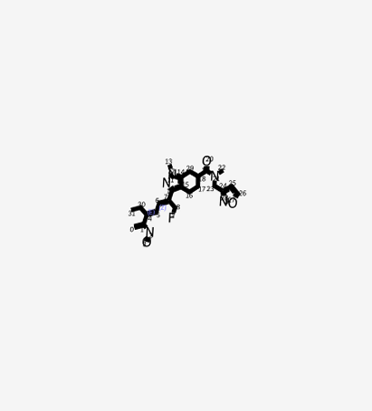 C=C(N=O)/C(=C/C=C(\CF)c1nn(C)c2c1CCC(C(=O)N(C)Cc1ccon1)C2)CC